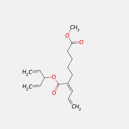 C=CC=C(CCCCC(=O)OC)C(=O)OC(C=C)C=C